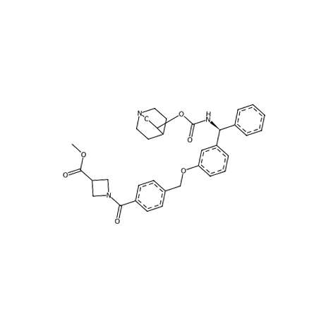 COC(=O)C1CN(C(=O)c2ccc(COc3cccc([C@@H](NC(=O)OC4CN5CCC4CC5)c4ccccc4)c3)cc2)C1